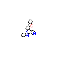 c1ccc2c(c1)nc1c3cnccc3c3c4oc5ccccc5c4ccc3n21